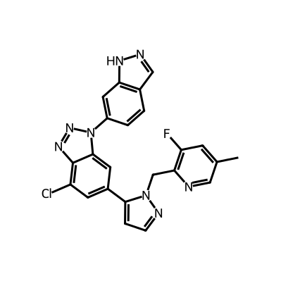 Cc1cnc(Cn2nccc2-c2cc(Cl)c3nnn(-c4ccc5cn[nH]c5c4)c3c2)c(F)c1